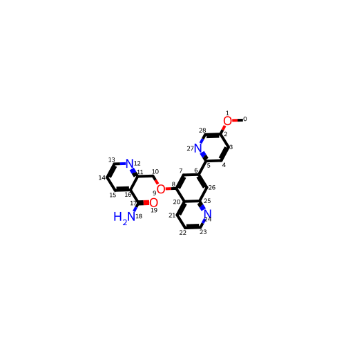 COc1ccc(-c2cc(OCc3ncccc3C(N)=O)c3cccnc3c2)nc1